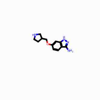 Nc1n[nH]c2cc(OCC3CCNC3)ccc12